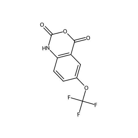 O=c1[nH]c2ccc(OC(F)(F)F)cc2c(=O)o1